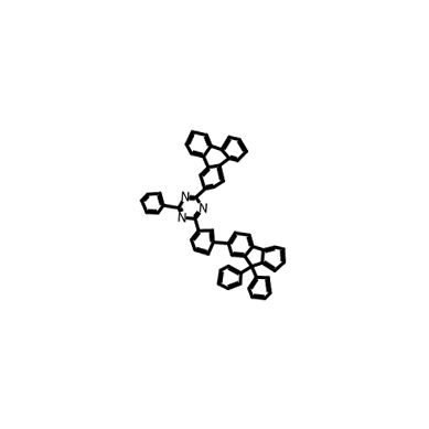 c1ccc(-c2nc(-c3cccc(-c4ccc5c(c4)C(c4ccccc4)(c4ccccc4)c4ccccc4-5)c3)nc(-c3ccc4c5ccccc5c5ccccc5c4c3)n2)cc1